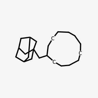 C1CCCCCC(CC23CC4CC(CC(C4)C2)C3)CCCCC1